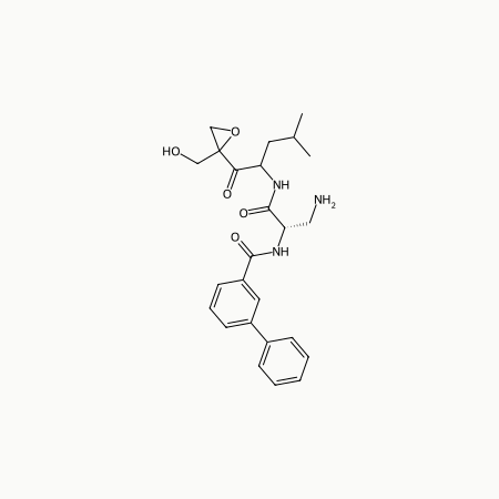 CC(C)CC(NC(=O)[C@H](CN)NC(=O)c1cccc(-c2ccccc2)c1)C(=O)C1(CO)CO1